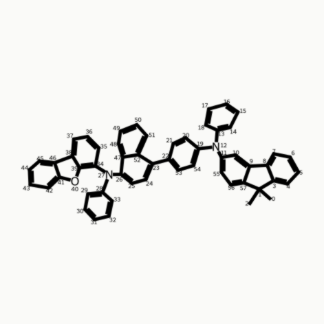 CC1(C)c2ccccc2-c2cc(N(c3ccccc3)c3ccc(-c4ccc(N(c5ccccc5)c5cccc6c5oc5ccccc56)c5ccccc45)cc3)ccc21